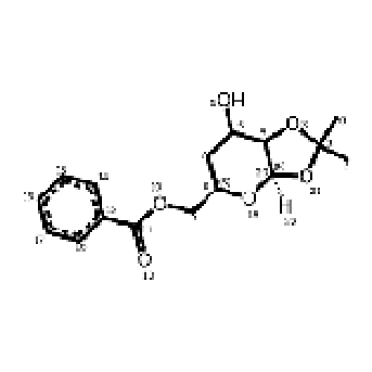 CC1(C)OC2C(O)C[C@H](COC(=O)c3ccccc3)O[C@@H]2O1